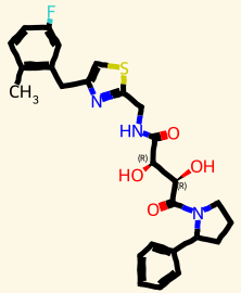 Cc1ccc(F)cc1Cc1csc(CNC(=O)[C@H](O)[C@@H](O)C(=O)N2CCCC2c2ccccc2)n1